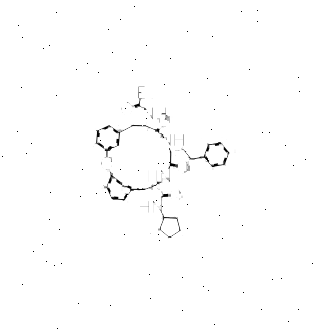 CCC(=O)N[C@H]1Cc2cccc(c2)Oc2cccc(c2)C[C@@H](C(=O)NC2CCCC2)NC(=O)[C@H](CCc2ccccc2)NC1=O